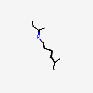 CC/C(C)=N/CCCCC(C)C